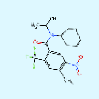 Cc1cc(C(F)(F)F)c(C(=O)N(C(C)C)C2CCCCC2)cc1[N+](=O)[O-]